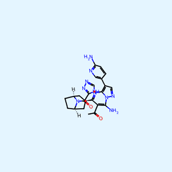 CC(=O)c1c([C@H]2C[C@H]3CC[C@@H](C2)N3C(=O)c2nnc[nH]2)nc2c(-c3ccc(N)nc3)cnn2c1N